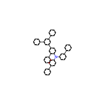 c1ccc(-c2ccc(N(c3cccc(-c4ccccc4)c3)c3ccc(-c4cc(-c5ccccc5)cc(-c5ccccc5)c4)cc3-c3ccccc3)cc2)cc1